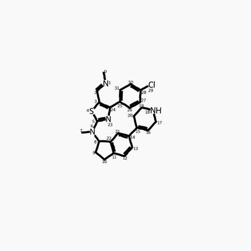 CN=Cc1sc(N(C)C2CCc3ccc(C4=CCNCC4)cc32)nc1-c1ccc(Cl)cc1